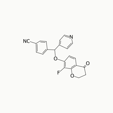 N#Cc1ccc(C(Oc2ccc3c(c2F)OCCC3=O)c2ccncc2)cc1